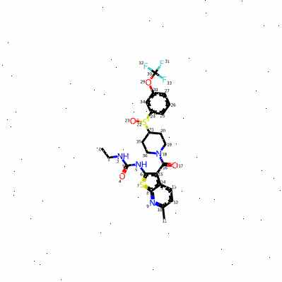 CCNC(=O)Nc1sc2nc(C)ccc2c1C(=O)N1CCC([S+]([O-])c2cccc(OC(F)(F)F)c2)CC1